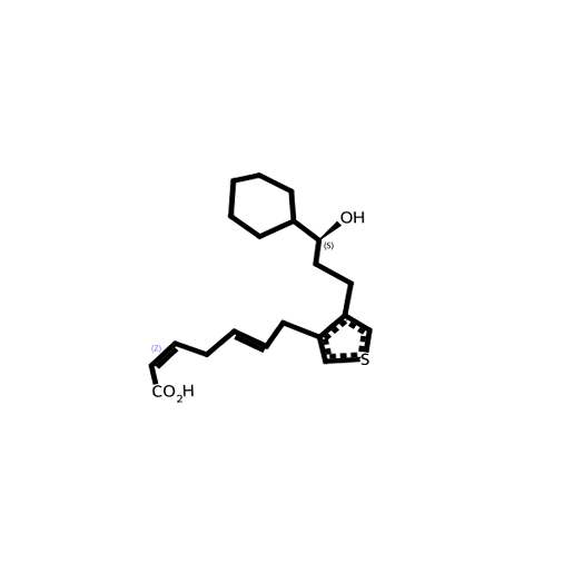 O=C(O)/C=C\CC=CCc1cscc1CC[C@H](O)C1CCCCC1